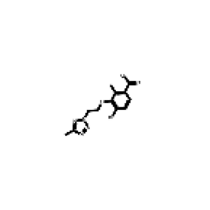 Cc1nnn(CCOc2c(Br)ccc(C(=O)Cl)c2C)n1